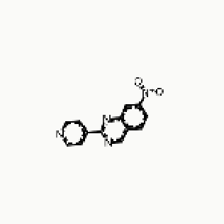 O=[N+]([O-])c1ccc2cnc(-c3ccncc3)nc2c1